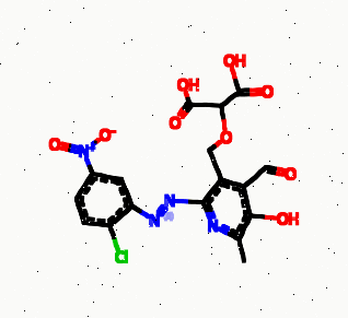 Cc1nc(/N=N/c2cc([N+](=O)[O-])ccc2Cl)c(COC(C(=O)O)C(=O)O)c(C=O)c1O